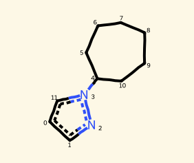 c1cnn(C2CCCCCC2)c1